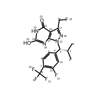 CC(C)[C@H](c1ccc(C(F)(F)F)c(F)c1)n1nc(CF)c2c(=O)[nH]c(O)nc21